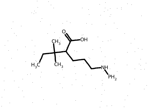 CCC(C)(C)C(CCCNP)C(=O)O